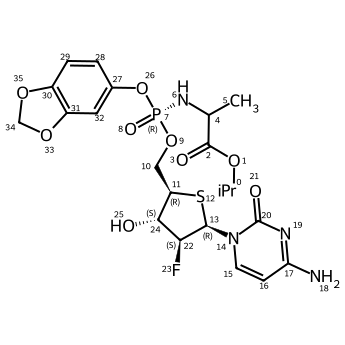 CC(C)OC(=O)C(C)N[P@@](=O)(OC[C@H]1S[C@@H](n2ccc(N)nc2=O)[C@@H](F)[C@@H]1O)Oc1ccc2c(c1)OCO2